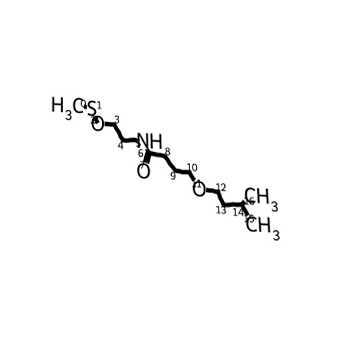 CSOCCNC(=O)CCCOCCC(C)C